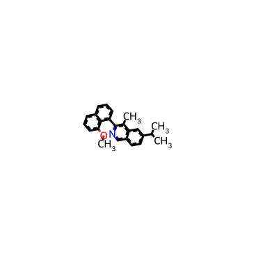 COc1cccc2cccc(-c3ncc4ccc(C(C)C)cc4c3C)c12